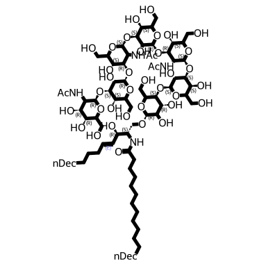 CCCCCCCCCCCCC/C=C/[C@@H](O)[C@H](CO[C@@H]1OC(CO)[C@@H](O[C@@H]2OC(CO)[C@H](O)[C@H](O[C@@H]3OC(CO)[C@@H](O)[C@H](O[C@@H]4OC(CO)[C@H](O)[C@H](O[C@@H]5OC(CO)[C@@H](O)[C@H](O[C@@H]6OC(CO)[C@H](O)[C@H](O[C@H]7OC(CO)[C@H](O)[C@H](O)C7NC(C)=O)C6O)C5NC(C)=O)C4O)C3NC(C)=O)C2O)[C@H](O)C1O)NC(=O)CCCCCCCCCCCCCCCCCCCCC